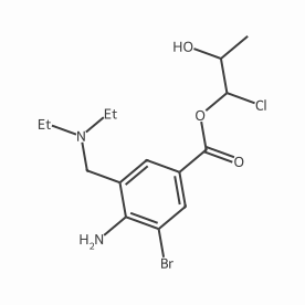 CCN(CC)Cc1cc(C(=O)OC(Cl)C(C)O)cc(Br)c1N